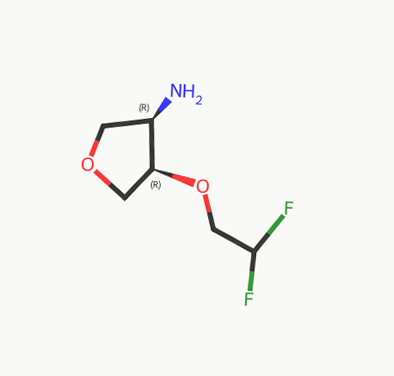 N[C@@H]1COC[C@@H]1OCC(F)F